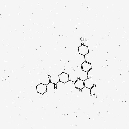 CN1CCC(c2ccc(Nc3nc(N4CCCC(NC(=O)N5CCCCC5)C4)cnc3C(N)=O)cc2)CC1